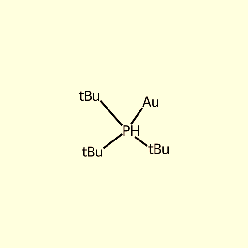 CC(C)(C)[PH]([Au])(C(C)(C)C)C(C)(C)C